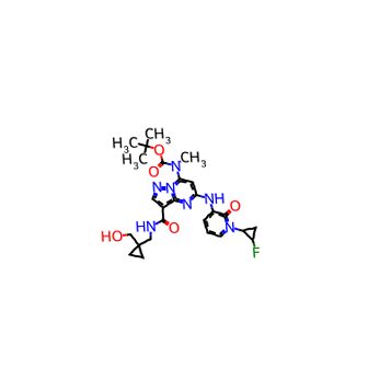 CN(C(=O)OC(C)(C)C)c1cc(Nc2cccn(C3CC3F)c2=O)nc2c(C(=O)NCC3(CO)CC3)cnn12